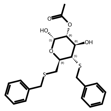 CC(=O)O[C@@H]1[C@@H](O)[C@H](SCc2ccccc2)[C@@H](CSCc2ccccc2)O[C@@H]1O